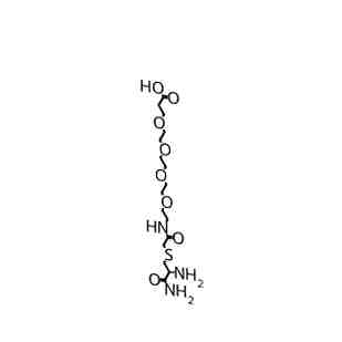 NC(=O)[C@H](N)CSCC(=O)NCCOCCOCCOCCOCCC(=O)O